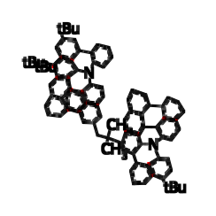 CC(C)(C)c1ccc(N(c2ccc(C(C)(C)Cc3cccc(-c4cccc5cccc(-c6ccccc6N(c6ccccc6-c6cc(C(C)(C)C)cc(C(C)(C)C)c6)c6ccc(C(C)(C)C)cc6-c6ccccc6)c45)c3)cc2-c2ccccc2)c2ccccc2-c2cccc3cccc(-c4ccccc4)c23)cc1